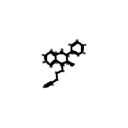 N#CCCCN1C(=O)C(c2ccccc2)Oc2ccccc21